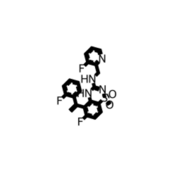 C=C(c1ccccc1F)c1c(F)ccc2c1NC(NCc1ncccc1F)=NS2(=O)=O